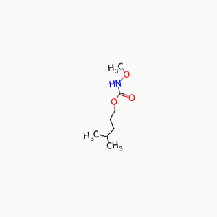 CONC(=O)OCCCC(C)C